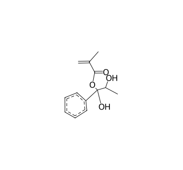 C=C(C)C(=O)OC(O)(c1ccccc1)C(C)O